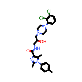 Cc1ccc(-n2c(C)nc(C(=O)NCC(O)CN3CCN(c4cccc(Cl)c4Cl)CC3)c2C)cc1